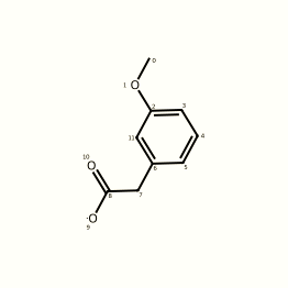 COc1cccc(CC([O])=O)c1